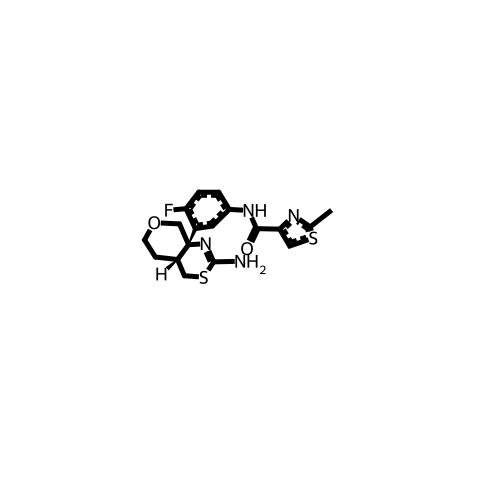 Cc1nc(C(=O)Nc2ccc(F)c([C@]34COCC[C@H]3CSC(N)=N4)c2)cs1